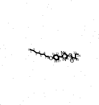 CCCCCCCCCOc1ccc(-c2ncc(OC(=O)C(C)CC)cn2)cc1